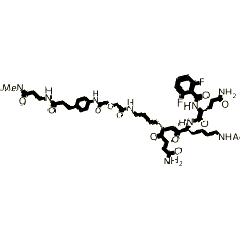 CNC(=O)CCNC(=O)CCc1ccc(NC(=O)COCC(=O)NCCCC[C@H](CC(=O)[C@H](CCCCNC(C)=O)NC(=O)[C@H](CCC(N)=O)NC(=O)c2c(F)cccc2F)C(=O)CCC(N)=O)cc1